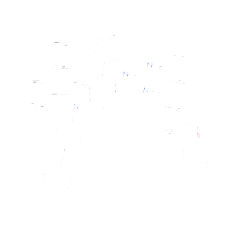 c1ccc(-c2ccc(-n3c4ccc5c(c6ccccc6n5-c5nc(-c6ccc7c(c6)oc6ccccc67)c6ccccc6n5)c4c4c5ccccc5c5ccccc5c43)cc2)cc1